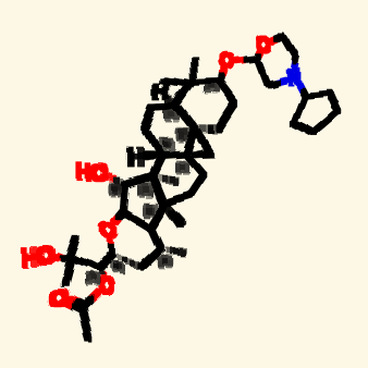 CC(=O)O[C@@H]([C@H]1C[C@@H](C)C2C(O1)[C@H](O)[C@@]1(C)[C@@H]3CC[C@H]4C(C)(C)[C@@H](OC5CN(C6CCCC6)CCO5)CC[C@@]45C[C@@]35CC[C@]21C)C(C)(C)O